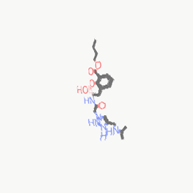 CCCCOC(=O)c1cccc2c1OB(O)[C@@H](NC(=O)CN1C=C(CNC(C)C)NN1)C2